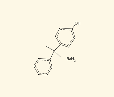 CC(C)(c1ccccc1)c1ccc(O)cc1.[BaH2]